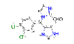 O=Cc1nccn1C(c1ccc(Cl)c(Cl)c1)c1c[nH]cn1